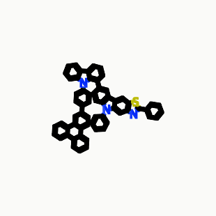 c1ccc(-c2nc3cc4c(cc3s2)c2cc(-c3cccc5c6ccccc6n(-c6ccc(-c7ccc8c9ccccc9c9ccccc9c8c7)cc6)c35)ccc2n4-c2ccccc2)cc1